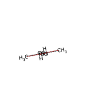 CCCCCC=CCC=CCC=CCC=CCCCC(=O)NCCSSCCNC(=O)CCCC=CCC=CCC=CCC=CCCCCC